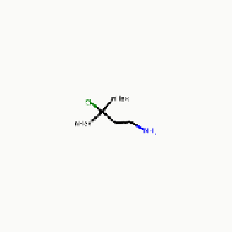 CCCCCCC(Cl)(CCN)CCCCCC